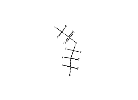 O=S(=O)(OC(F)(F)C(F)(F)C(F)(F)F)C(F)(F)F